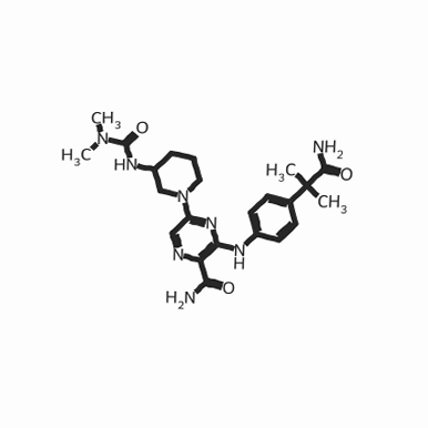 CN(C)C(=O)NC1CCCN(c2cnc(C(N)=O)c(Nc3ccc(C(C)(C)C(N)=O)cc3)n2)C1